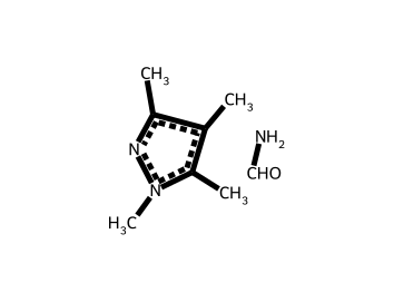 Cc1nn(C)c(C)c1C.NC=O